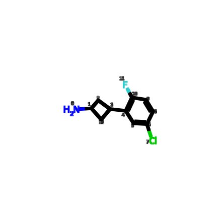 NC1CC(c2cc(Cl)ccc2F)C1